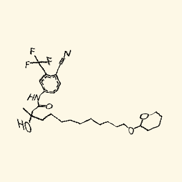 CC(O)(CCCCCCCCCCOC1CCCCO1)C(=O)Nc1ccc(C#N)c(C(F)(F)F)c1